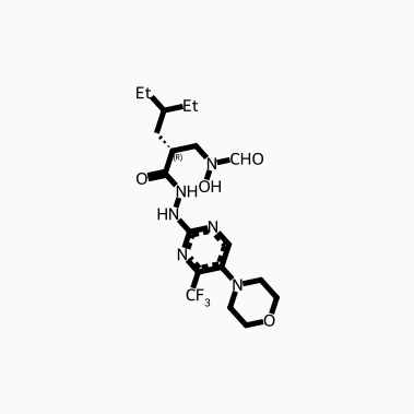 CCC(CC)C[C@H](CN(O)C=O)C(=O)NNc1ncc(N2CCOCC2)c(C(F)(F)F)n1